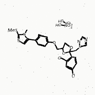 CSc1ncc(-c2ccc(OCC3COC(Cn4cncn4)(c4ccc(Cl)cc4Cl)O3)cc2)n1C.O=[N+]([O-])O.O=[N+]([O-])O